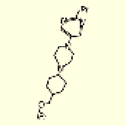 CC(C)OCC1CCC(N2CCN(c3cnc(C(C)C)nc3)CC2)CC1